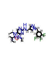 C/C=C(/C)C(=O)N(CC)c1cnc(NCc2cnn(Cc3cc(F)c(F)c(F)c3)c2)nc1NCC